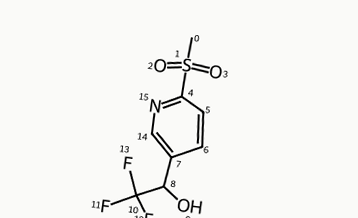 CS(=O)(=O)c1ccc(C(O)C(F)(F)F)cn1